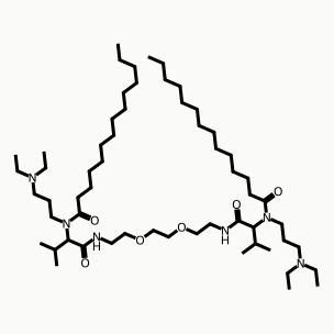 CCCCCCCCCCCCCC(=O)N(CCCN(CC)CC)C(C(=O)NCCOCCOCCNC(=O)C(C(C)C)N(CCCN(CC)CC)C(=O)CCCCCCCCCCCCC)C(C)C